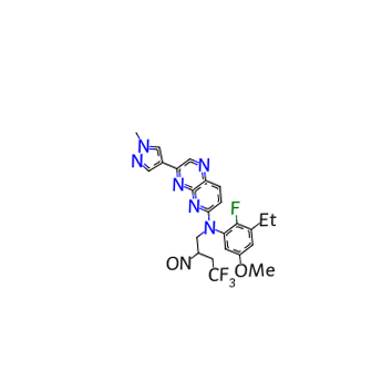 CCc1cc(OC)cc(N(CC(CC(F)(F)F)N=O)c2ccc3ncc(-c4cnn(C)c4)nc3n2)c1F